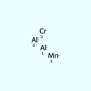 [Al].[Al].[Cr].[Mn]